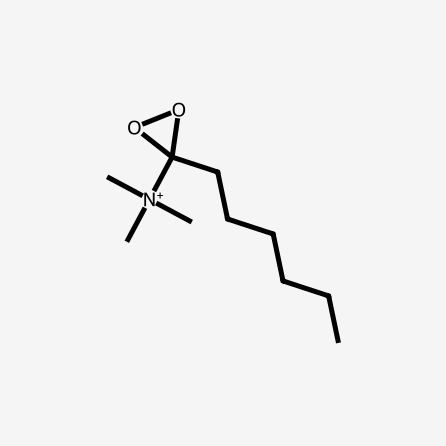 CCCCCCC1([N+](C)(C)C)OO1